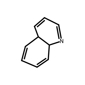 C1=CC2C=CC=NC2C=C1